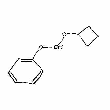 B(Oc1ccccc1)OC1CCC1